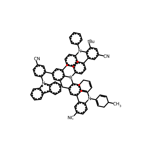 CC1C=CC(N(C2=CCCC=C2)c2ccc(C#N)cc2-c2ccc3c(c2)Cc2cc(-c4cc(C#N)ccc4-n4c5ccccc5c5ccccc54)cc4c2B3c2ccc(-c3cc(C#N)cc(C(C)(C)C)c3N(c3ccccc3)c3ccccc3)cc2C4)=CC1